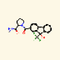 CNC(=O)C1CCCN1C(=O)c1ccc2c(c1)C(O)(C(F)(F)F)c1ccccc1-2